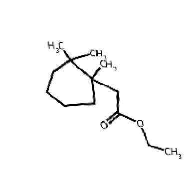 CCOC(=O)CC1(C)CCCCC1(C)C